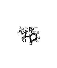 C[N+](C)(C)CC(O)C(=O)c1ccccc1.[Br-]